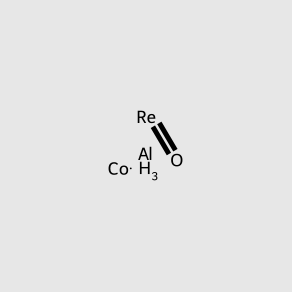 [AlH3].[Co].[O]=[Re]